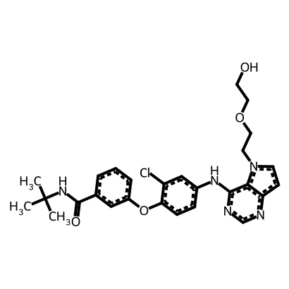 CC(C)(C)NC(=O)c1cccc(Oc2ccc(Nc3ncnc4ccn(CCOCCO)c34)cc2Cl)c1